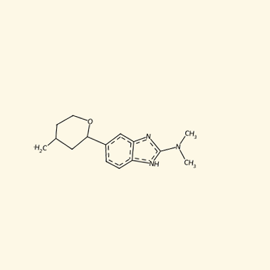 [CH2]C1CCOC(c2ccc3[nH]c(N(C)C)nc3c2)C1